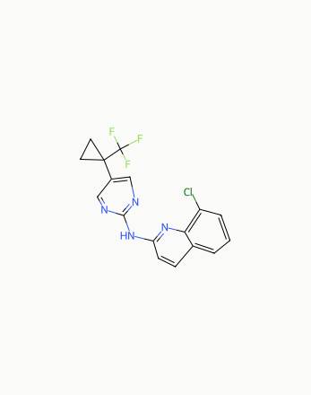 FC(F)(F)C1(c2cnc(Nc3ccc4cccc(Cl)c4n3)nc2)CC1